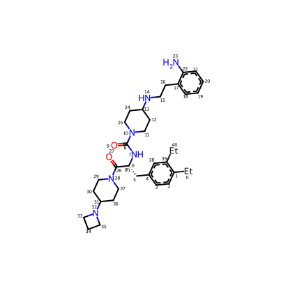 CCc1ccc(C[C@@H](NC(=O)N2CCC(NCCc3ccccc3N)CC2)C(=O)N2CCC(N3CCC3)CC2)cc1CC